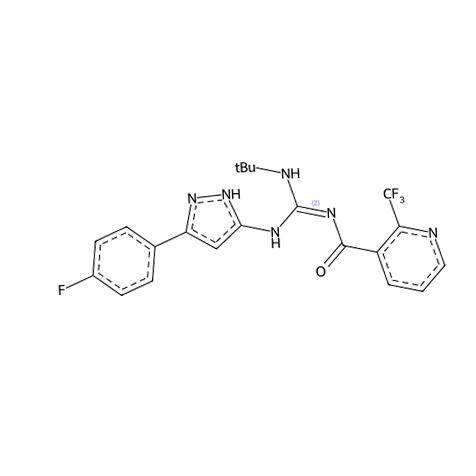 CC(C)(C)N/C(=N/C(=O)c1cccnc1C(F)(F)F)Nc1cc(-c2ccc(F)cc2)n[nH]1